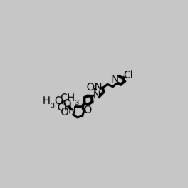 CC(C)(C)OC(=O)N1CCCc2oc3cc(-n4ccc(CCc5ccc(Cl)cn5)nc4=O)ccc3c2C1